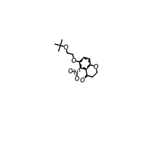 CC(C)(C)OCCOc1ccc2c(c1[N+](=O)[O-])C(=O)CCO2